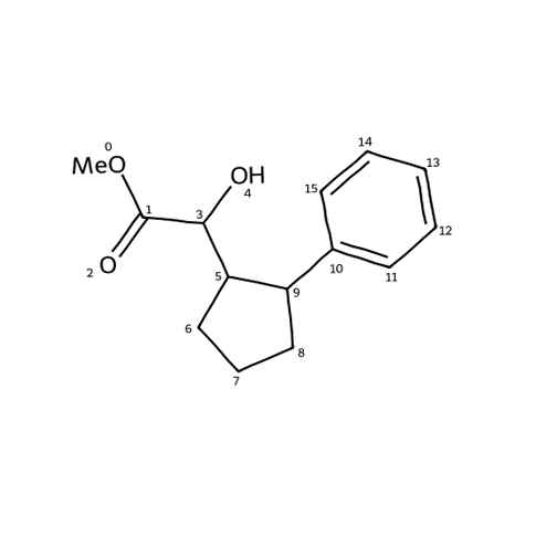 COC(=O)C(O)C1CCCC1c1ccccc1